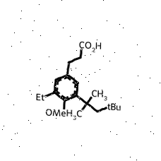 CCc1cc(CCC(=O)O)cc(C(C)(C)CC(C)(C)C)c1OC